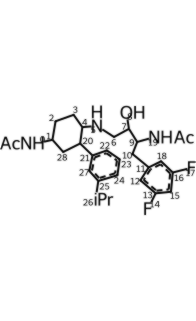 CC(=O)NC1CCC(NCC(O)C(Cc2cc(F)cc(F)c2)NC(C)=O)C(c2cccc(C(C)C)c2)C1